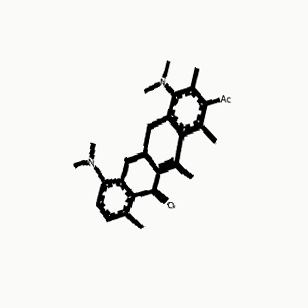 CC(=O)c1c(C)c2c(c(N(C)C)c1C)CC1Cc3c(N(C)C)ccc(C)c3C(=O)C1=C2C